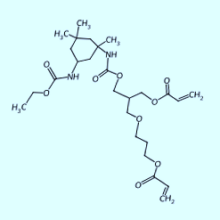 C=CC(=O)OCCCOCC(COC(=O)C=C)COC(=O)NC1(C)CC(NC(=O)OCC)CC(C)(C)C1